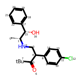 C[C@@H](NCC(C(=O)C(C)(C)C)c1ccc(Cl)cc1)[C@@H](O)c1ccccc1